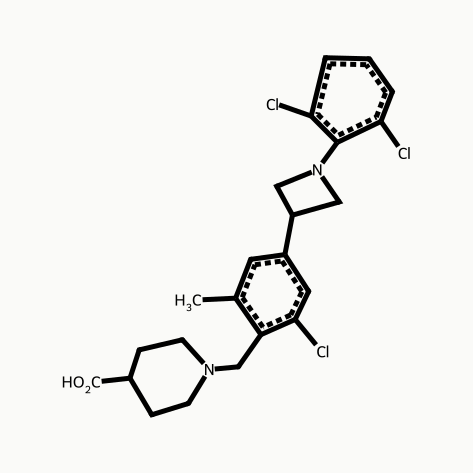 Cc1cc(C2CN(c3c(Cl)cccc3Cl)C2)cc(Cl)c1CN1CCC(C(=O)O)CC1